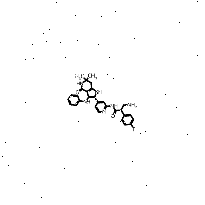 CC1(C)Cc2[nH]c(-c3ccnc(NC(=O)C(CN)c4ccc(F)cc4)c3)c(Nc3ccccc3)c2C(=O)N1